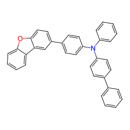 c1ccc(-c2ccc(N(c3ccccc3)c3ccc(-c4ccc5oc6ccccc6c5c4)cc3)cc2)cc1